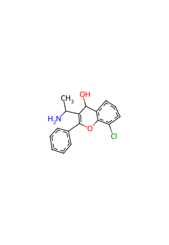 CC(N)C1=C(c2ccccc2)Oc2c(Cl)cccc2C1O